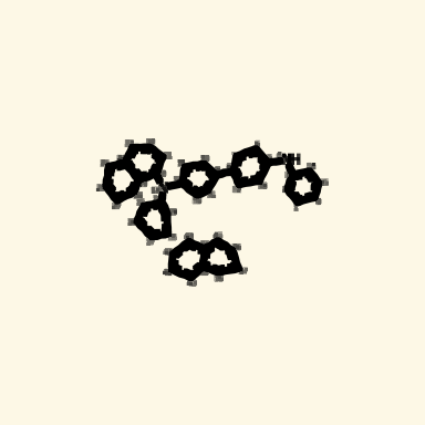 c1ccc(Nc2ccc(-c3ccc(N(c4ccccc4)c4cccc5ccccc45)cc3)cc2)cc1.c1ccc2ccccc2c1